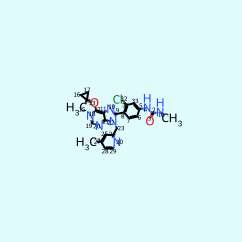 CNC(=O)Nc1ccc(-c2nc3c(OC4(C)CC4)ncnc3n2Cc2cc(C)ccn2)c(Cl)c1